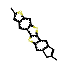 CC1=Cc2cc3c(cc2C1)sc1c2cc4cc(C)sc4cc2sc31